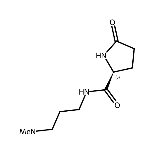 CNCCCNC(=O)[C@@H]1CCC(=O)N1